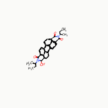 CCC(C)N1C(=O)c2ccc3c4ccc5c6c(ccc(c7ccc(c2c37)C1=O)c64)[C@@H](O)N(C(C)CC)C5=O